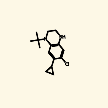 CC(C)(C)N1CCNc2cc(Cl)c(C3CC3)cc21